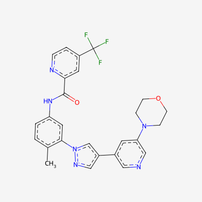 Cc1ccc(NC(=O)c2cc(C(F)(F)F)ccn2)cc1-n1cc(-c2cncc(N3CCOCC3)c2)cn1